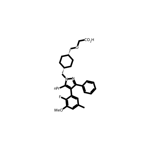 CCCc1c(-c2cc(C)cc(OC)c2F)c(-c2ccccc2)nn1C[C@H]1CC[C@@H](COCC(=O)O)CC1